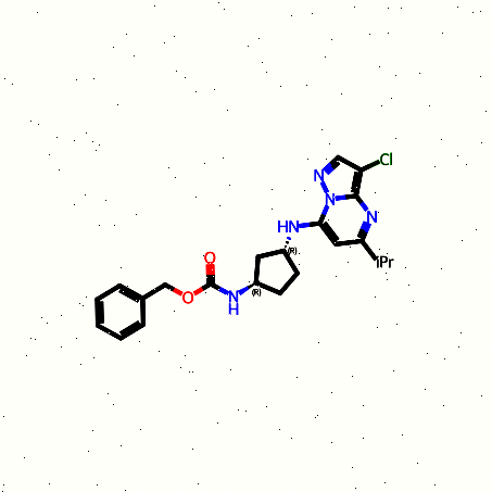 CC(C)c1cc(N[C@@H]2CC[C@@H](NC(=O)OCc3ccccc3)C2)n2ncc(Cl)c2n1